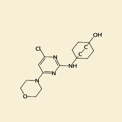 OC12CCC(Nc3nc(Cl)cc(N4CCOCC4)n3)(CC1)CC2